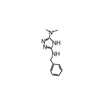 CN(C)c1nnc(NCc2ccccc2)[nH]1